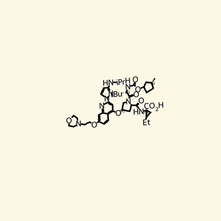 CCC1C[C@]1(NC(=O)C1C[C@@H](Oc2cc(-n3ccc(NC(C)C)n3)nc3cc(OCCN4CCOCC4)ccc23)CN1C(=O)[C@@H](NC(=O)OC1CC[C@H](C)C1)C(C)(C)C)C(=O)O